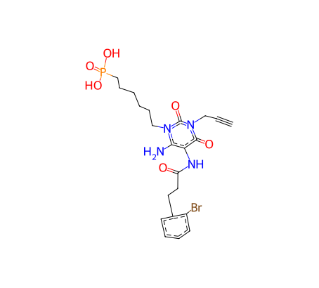 C#CCn1c(=O)c(NC(=O)CCc2ccccc2Br)c(N)n(CCCCCCP(=O)(O)O)c1=O